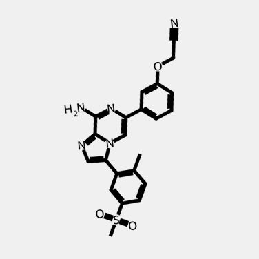 Cc1ccc(S(C)(=O)=O)cc1-c1cnc2c(N)nc(-c3cccc(OCC#N)c3)cn12